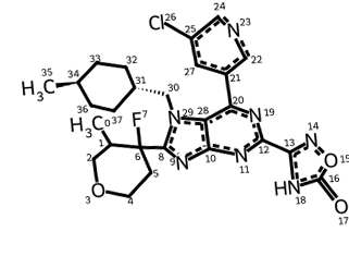 CC1COCCC1(F)c1nc2nc(-c3noc(=O)[nH]3)nc(-c3cncc(Cl)c3)c2n1C[C@H]1CC[C@H](C)CC1